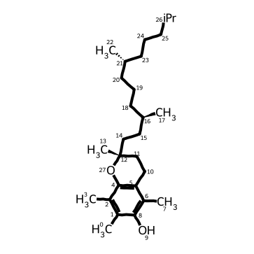 Cc1c(C)c2c(c(C)c1O)CC[C@@](C)(CC[C@H](C)CCC[C@H](C)CCCC(C)C)O2